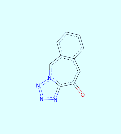 O=c1cc2ccccc2cn2nnnc12